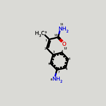 CC(=Cc1cccc(N)c1)C(N)=O